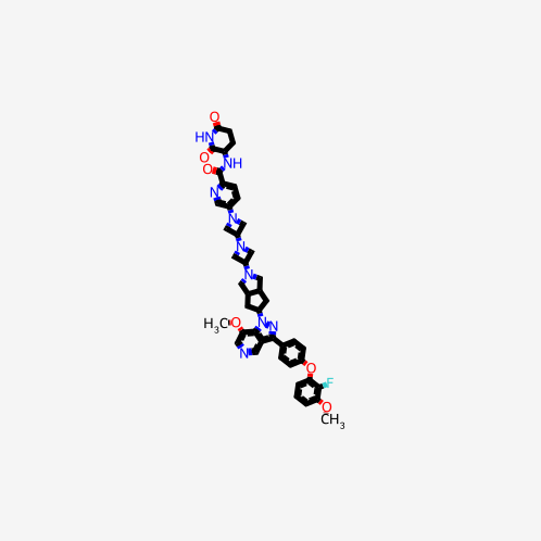 COc1cccc(Oc2ccc(-c3nn(C4CC5CN(C6CN(C7CN(c8ccc(C(=O)NC9CCC(=O)NC9=O)nc8)C7)C6)CC5C4)c4c(OC)cncc34)cc2)c1F